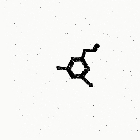 C=CCc1nc(Cl)cc(Cl)n1